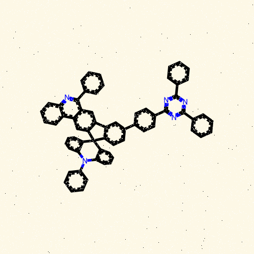 c1ccc(-c2nc(-c3ccccc3)nc(-c3ccc(-c4ccc5c(c4)-c4cc6c(-c7ccccc7)nc7ccccc7c6cc4C54c5ccccc5N(c5ccccc5)c5ccccc54)cc3)n2)cc1